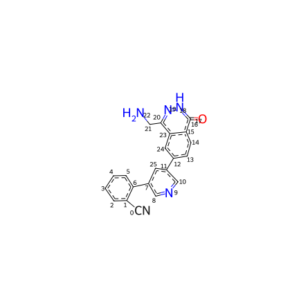 N#Cc1ccccc1-c1cncc(-c2ccc3c(=O)[nH]nc(CN)c3c2)c1